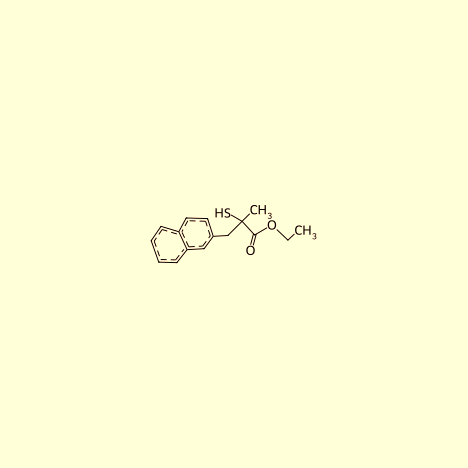 CCOC(=O)C(C)(S)Cc1ccc2ccccc2c1